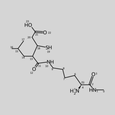 CNC(=O)[C@@H](N)CCCCNC(=O)C(CC(C)C)C(S)CC(=O)O